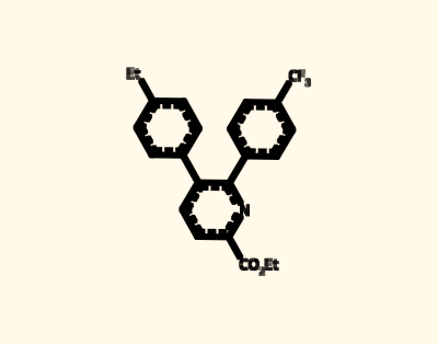 CCOC(=O)c1ccc(-c2ccc(CC)cc2)c(-c2ccc(C(F)(F)F)cc2)n1